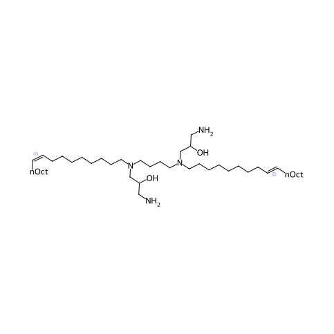 CCCCCCCC/C=C\CCCCCCCCN(CCCCN(CCCCCCCC/C=C/CCCCCCCC)CC(O)CN)CC(O)CN